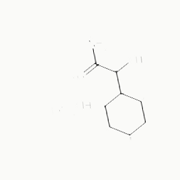 CC(C(N)=O)C1CCCCC1.Cl.Cl